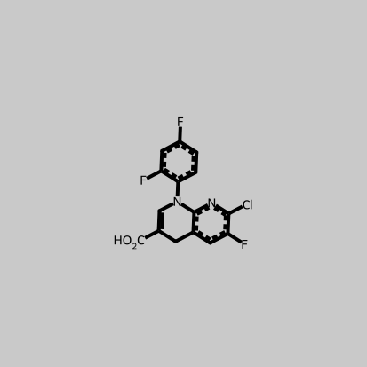 O=C(O)C1=CN(c2ccc(F)cc2F)c2nc(Cl)c(F)cc2C1